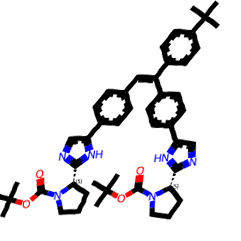 CC(C)(C)OC(=O)N1CCC[C@H]1c1ncc(-c2ccc(C=C(c3ccc(-c4cnc([C@@H]5CCCN5C(=O)OC(C)(C)C)[nH]4)cc3)c3ccc(C(C)(C)C)cc3)cc2)[nH]1